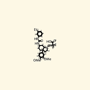 CCc1cccc(NC(=O)NC2CCC3(c4ccc(OC)c(OC)c4)CCN(C)C3C2)c1.O=C(O)C(F)(F)F